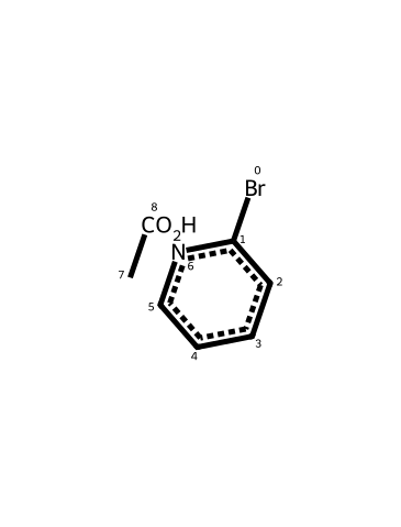 Brc1ccccn1.CC(=O)O